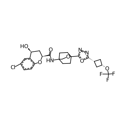 O=C(NC12CCC(c3nnc([C@H]4C[C@@H](OC(F)(F)F)C4)o3)(CC1)OC2)[C@@H]1C[C@H](O)c2cc(Cl)ccc2O1